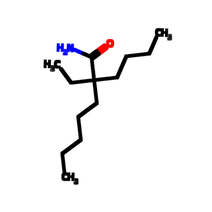 CCCCCC(CC)(CCCC)C(N)=O